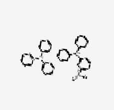 [O-]B[O-].c1ccc([C+](c2ccccc2)c2ccccc2)cc1.c1ccc([C+](c2ccccc2)c2ccccc2)cc1